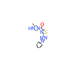 C[C@H]1CN(C(=O)c2csc(-c3ncn(-c4ccccc4)n3)n2)CCN1